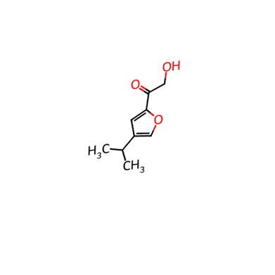 CC(C)c1coc(C(=O)CO)c1